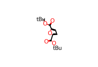 CC(C)(C)OC(=O)c1ccc(C(=O)OC(C)(C)C)o1